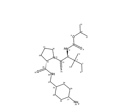 CCC(C)(C)[C@H](NC(=O)OC(C)C)C(=S)N1CCC[C@H]1C(=O)NCC1CCC(N)CC1